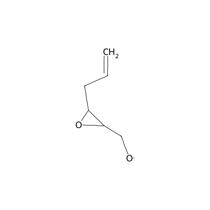 C=CCC1OC1C[O]